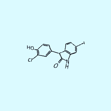 O=C1Nc2cc(I)ccc2C1c1ccc(O)c(Cl)c1